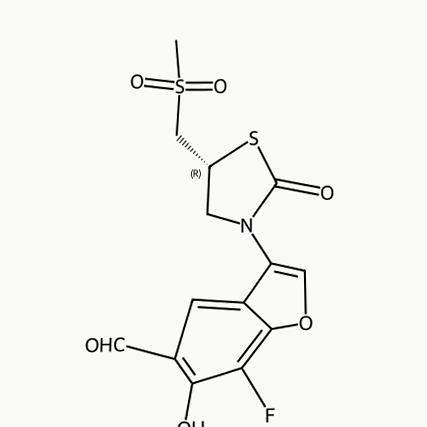 CS(=O)(=O)C[C@H]1CN(c2coc3c(F)c(O)c(C=O)cc23)C(=O)S1